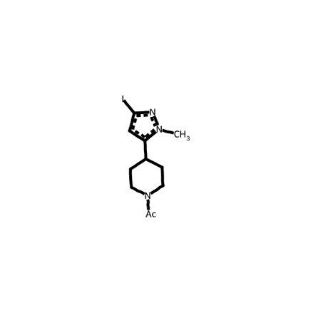 CC(=O)N1CCC(c2cc(I)nn2C)CC1